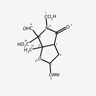 COC1CC2C(=O)N(C(=O)O)C(C=O)(C(=O)O)C2(C)O1